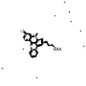 CC(=O)OCCCc1cc2c3c(nc4ccccc4c3c1)-c1ccc(Cl)cc1N2C